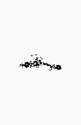 CCCN1C(=O)[C@H](CCCCNC(=O)OCc2ccccc2)NC(=O)C12CCN(S(=O)(=O)c1ccc(C(F)(F)F)cc1)CC2